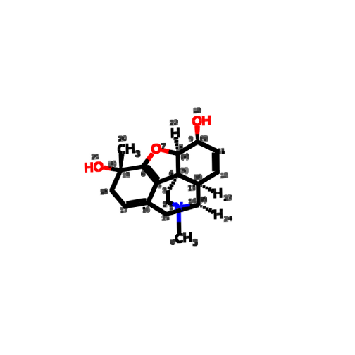 CN1CC[C@]23C4=C5O[C@H]2[C@@H](O)C=C[C@H]3[C@H]1CC4=CC[C@]5(C)O